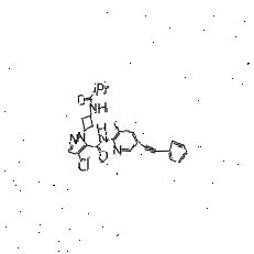 Cc1cc(C#Cc2ccccc2)cnc1NC(=O)c1c(Cl)cnn1[C@H]1C[C@H](NC(=O)C(C)C)C1